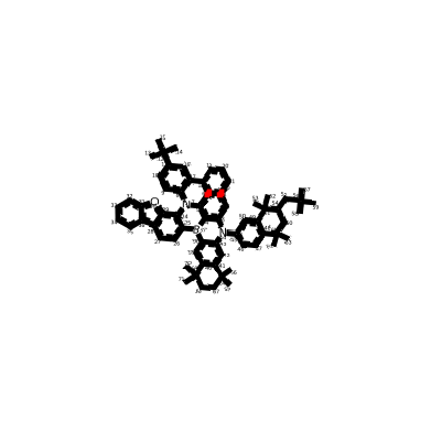 Cc1cc2c3c(c1)N(c1ccc(C(C)(C)C)cc1-c1ccccc1)c1c(ccc4c1oc1ccccc14)B3c1cc3c(cc1N2c1ccc2c(c1)C(C)(C)C(CC(C)(C)C)CC2(C)C)C(C)(C)CCC3(C)C